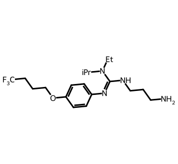 CCN(/C(=N\c1ccc(OCCCC(F)(F)F)cc1)NCCCN)C(C)C